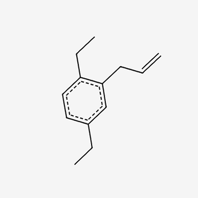 C=CCc1cc(CC)ccc1CC